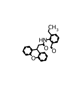 CCc1cccc(C=O)c1NC(=O)CC1c2ccccc2Oc2ccccc21